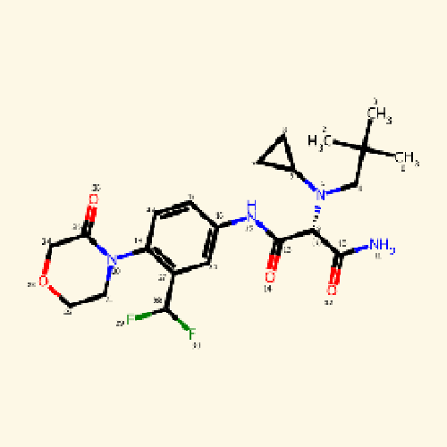 CC(C)(C)CN(C1CC1)[C@H](C(N)=O)C(=O)Nc1ccc(N2CCOCC2=O)c(C(F)F)c1